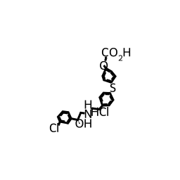 Cl.O=C(O)COc1ccc(Sc2ccc(CCNC[C@H](O)c3cccc(Cl)c3)cc2)cc1